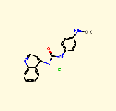 Cl.O=CNc1ccc(NC(=O)Nc2ccnc3ccccc23)cc1